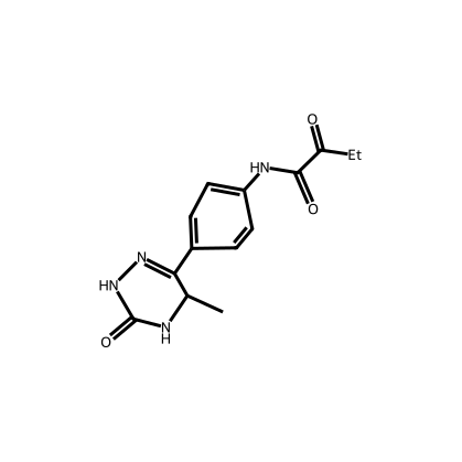 CCC(=O)C(=O)Nc1ccc(C2=NNC(=O)NC2C)cc1